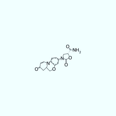 NC(=O)[C@H]1CN(c2ccc3c(c2)OCC2CC(=O)C=CN32)C(=O)O1